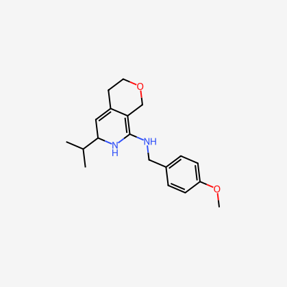 COc1ccc(CNC2=C3COCCC3=CC(C(C)C)N2)cc1